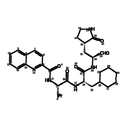 CC(C)[C@H](NC(=O)c1ccc2ccccc2n1)C(=O)N[C@@H](CC1CCCCC1)C(=O)N[C@H](C=O)C[C@@H]1CCNC1=O